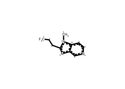 Cn1c(CCC(F)(F)F)nc2cnccc21